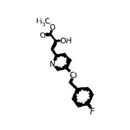 COC(=O)C(O)=Cc1ccc(OCc2ccc(F)cc2)cn1